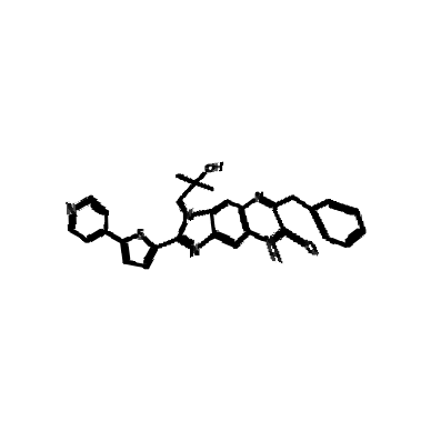 CC(C)(O)Cn1c(-c2ccc(-c3ccncc3)s2)nc2cc3[nH]c(=O)c(Cc4ccccc4)nc3cc21